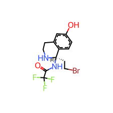 O=C(N[C@@]1(CCBr)NCCc2cc(O)ccc21)C(F)(F)F